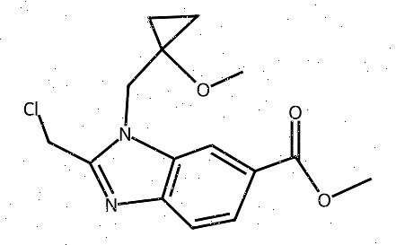 COC(=O)c1ccc2nc(CCl)n(CC3(OC)CC3)c2c1